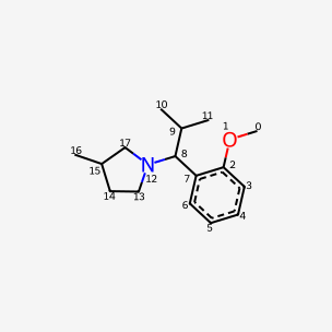 COc1ccccc1C(C(C)C)N1CCC(C)C1